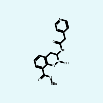 CCCCOC(=O)c1cccc2c1OB(O)C(NC(=O)Cc1ccncc1)C2